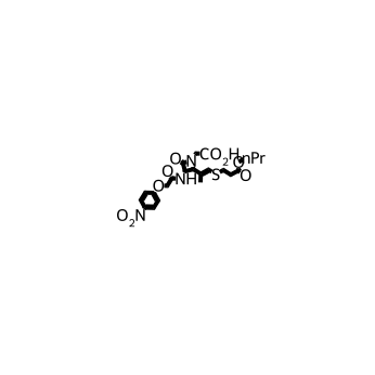 CCCOC(=O)CCSC=C(C)C1C(NC(=O)COc2ccc([N+](=O)[O-])cc2)C(=O)N1CC(=O)O